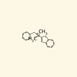 C[Si](C)(Cc1ccccc1)C1=Cc2ccccc2[CH]1